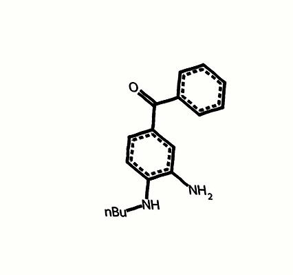 CCCCNc1ccc(C(=O)c2ccccc2)cc1N